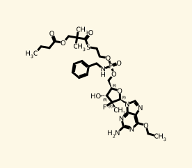 CCCC(=O)OCC(C)(C)C(=O)SCCOP(=O)(NCc1ccccc1)OC[C@H]1O[C@@H](n2cnc3c(OCC)nc(N)nc32)[C@](C)(F)[C@@H]1O